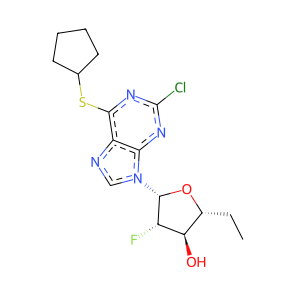 CC[C@H]1O[C@@H](n2cnc3c(SC4CCCC4)nc(Cl)nc32)[C@@H](F)[C@@H]1O